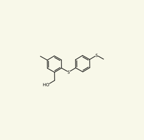 CSc1ccc(Sc2ccc(C)cc2CO)cc1